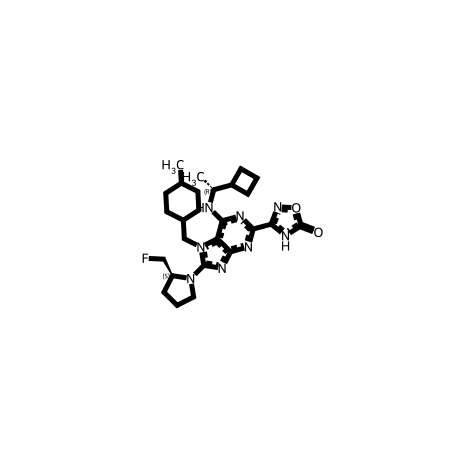 CC1CCC(Cn2c(N3CCC[C@H]3CF)nc3nc(-c4noc(=O)[nH]4)nc(N[C@H](C)C4CCC4)c32)CC1